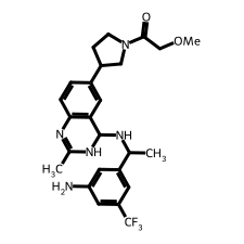 COCC(=O)N1CCC(c2ccc3c(c2)C(NC(C)c2cc(N)cc(C(F)(F)F)c2)NC(C)=N3)C1